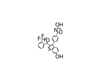 O=C(c1ccccc1C(F)(F)F)c1sc2cc(O)ccc2c1-c1ccc(-c2nc(O)co2)cc1